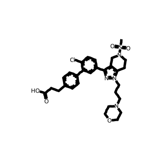 CS(=O)(=O)N1CCc2c(c(-c3ccc(Cl)c(-c4ccc(CCC(=O)O)cc4)c3)nn2CCCN2CCOCC2)C1